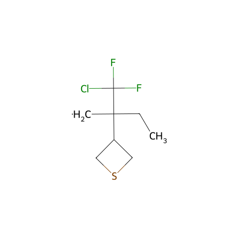 [CH2]C(CC)(C1CSC1)C(F)(F)Cl